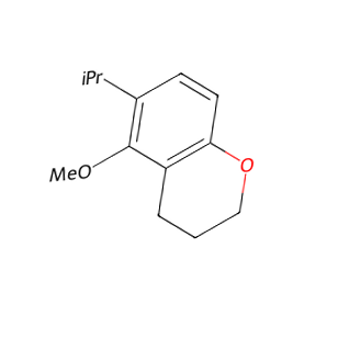 COc1c(C(C)C)ccc2c1CCCO2